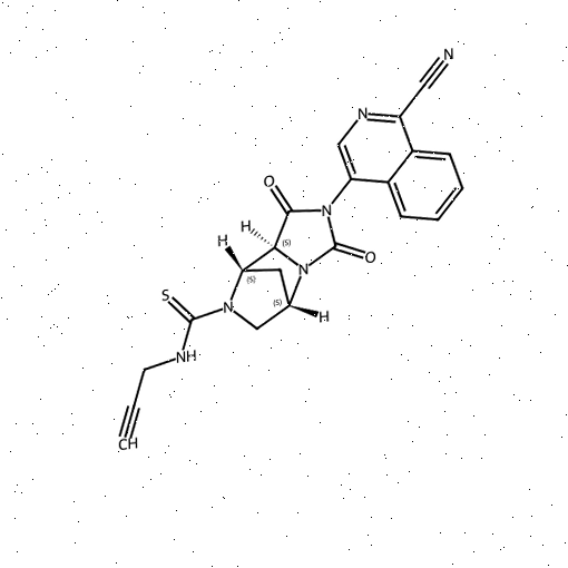 C#CCNC(=S)N1C[C@@H]2C[C@H]1[C@H]1C(=O)N(c3cnc(C#N)c4ccccc34)C(=O)N21